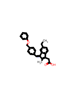 CCc1ccc2c(c1)/C(=C\c1ccc(COc3ccccc3)cc1)C(C)=C2CC(=O)O